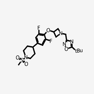 CC(C)(C)c1nc(CN2CC(Oc3c(F)cc(C4CCN(S(C)(=O)=O)CC4)cc3F)C2)no1